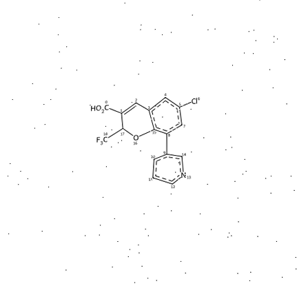 O=C(O)C1=Cc2cc(Cl)cc(-c3cccnc3)c2OC1C(F)(F)F